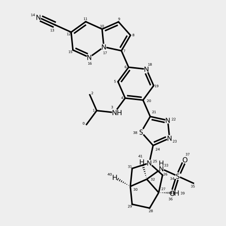 CC(C)Nc1cc(-c2ccc3cc(C#N)cnn23)ncc1-c1nnc(N2C[C@H]3CC[C@@H](C2)[C@H]3NS(C)(=O)=O)s1